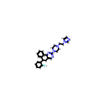 Fc1ccccc1C1Cc2cnc(N3CCN(CCn4ccnc4)CC3)nc2-c2ccccc21